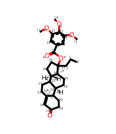 CCCC1(OC(=O)c2cc(OC)c(OC)c(OC)c2)CC[C@H]2[C@@H]3CCC4=CC(=O)CC[C@]4(C)[C@@H]3CC[C@@]21C